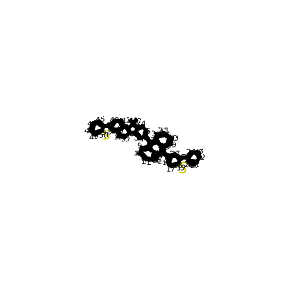 CC1(C)c2ccc(-c3c4ccccc4c(-c4ccc5sc6ccccc6c5c4)c4ccccc34)cc2-c2ccc3c(ccc4c5ccccc5sc34)c21